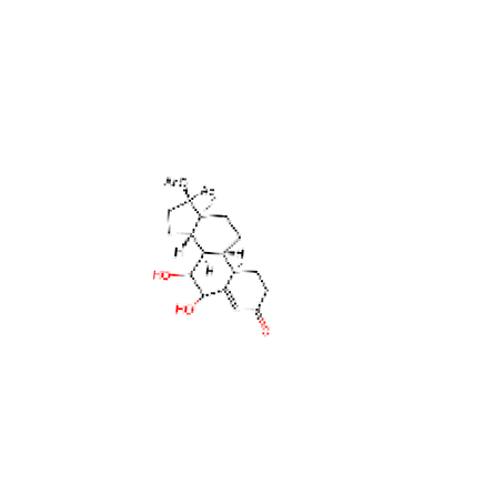 CC(=O)O[C@]1(C(C)=O)CC[C@H]2[C@@H]3C(O)C(O)C4=CC(=O)CC[C@]4(C)[C@H]3CC[C@@]21C